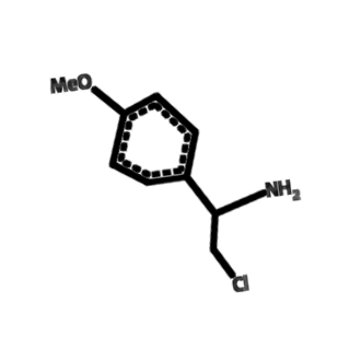 COc1ccc(C(N)CCl)cc1